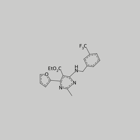 CCOC(=O)c1c(NCc2cccc(C(F)(F)F)c2)nc(C)nc1-c1ccco1